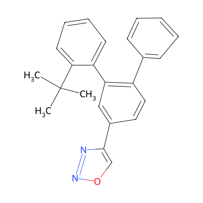 CC(C)(C)c1ccccc1-c1cc(-c2conn2)ccc1-c1ccccc1